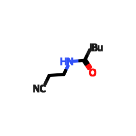 CCC(C)C(=O)NCCC#N